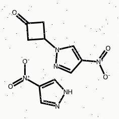 O=C1CC(n2cc([N+](=O)[O-])cn2)C1.O=[N+]([O-])c1cn[nH]c1